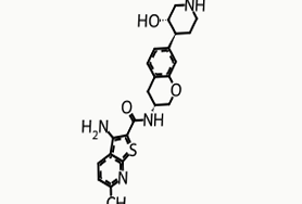 Cc1ccc2c(N)c(C(=O)N[C@H]3COc4cc([C@@H]5CCNC[C@H]5O)ccc4C3)sc2n1